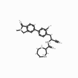 CN1Cc2cc(-c3ccc(CC(C#N)NC(=O)C4CNCCCO4)c(F)c3)ccc2C1=O